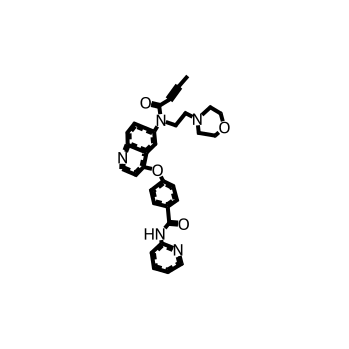 CC#CC(=O)N(CCN1CCOCC1)c1ccc2nccc(Oc3ccc(C(=O)Nc4ccccn4)cc3)c2c1